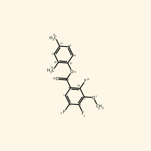 COc1c(F)c(F)cc(C(=O)Oc2ccc(C)cc2C)c1F